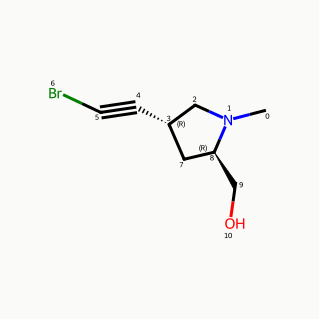 CN1C[C@@H](C#CBr)C[C@@H]1CO